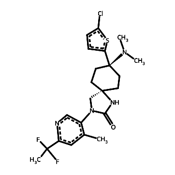 Cc1cc(C(C)(F)F)ncc1N1C[C@]2(CC[C@](c3ccc(Cl)s3)(N(C)C)CC2)NC1=O